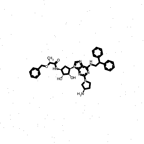 C[C@@H](OCc1ccccc1)C(=O)N[C@H]1C[C@@H](n2cnc3c(NCC(c4ccccc4)c4ccccc4)nc(N4CC[C@@H](N)C4)nc32)[C@H](O)[C@@H]1O